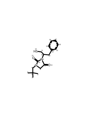 CC(C)(C)CN1CC(=O)N(C(CS)Cc2ccccc2)C1=O